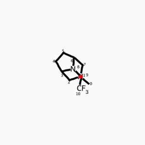 CN1CC2CCC(C1)N2CC(F)(F)F